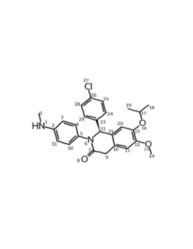 CNc1ccc(N2C(=O)Cc3cc(OC)c(OC(C)C)cc3[C@@H]2c2ccc(Cl)cc2)cc1